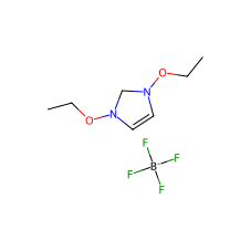 CCON1C=CN(OCC)C1.F[B-](F)(F)F